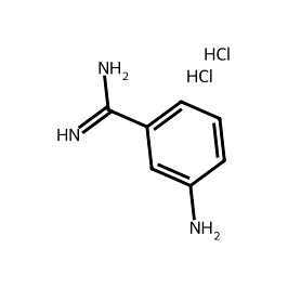 Cl.Cl.N=C(N)c1cccc(N)c1